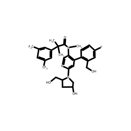 CN(C(=O)C(C)(C)c1cc(C(F)(F)F)cc(C(F)(F)F)c1)c1cnc(N2CC(O)CC2CO)cc1-c1ccc(F)cc1CO